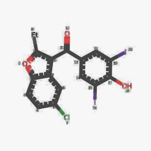 CCc1oc2ccc(Cl)cc2c1C(=O)c1cc(I)c(O)c(I)c1